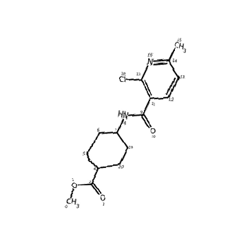 COC(=O)C1CCC(NC(=O)c2ccc(C)nc2Cl)CC1